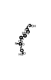 Cc1c(Nc2nccc3cc(CN4CC[C@@H](O)C4)cnc23)cccc1-c1cccc(-c2nc3c(=O)n(CCN4CCC(C(=O)O)CC4)cc(C#N)c3o2)c1C